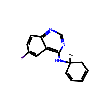 CCC1(Nc2ncnc3ccc(I)cc23)C=CC=CC1